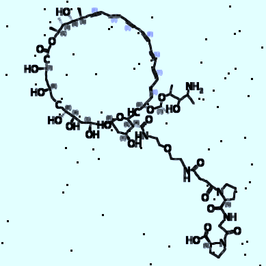 CC(N)C(O)C(C)O[C@H](C)O[C@H]1/C=C/C=C/C=C/C=C/C=C/C=C/C=C/[C@H](C)[C@@H](O)[C@@H](C)[C@H](C)OC(=O)C[C@H](O)C[C@H](O)CC[C@@H](O)[C@H](O)C[C@H](O)C[C@]2(O)C[C@H](O)[C@@H](C(=O)NCCOCCNC(=O)CCC(=O)N3CCC[C@H]3C(=O)NCC(=O)N3CCC[C@H]3C(=O)O)[C@H](C1)O2